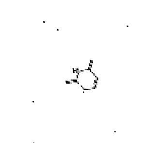 C=C1[C]=CCC(=C)N1